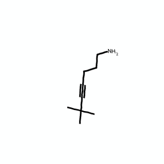 CC(C)(C)C#CCCCN